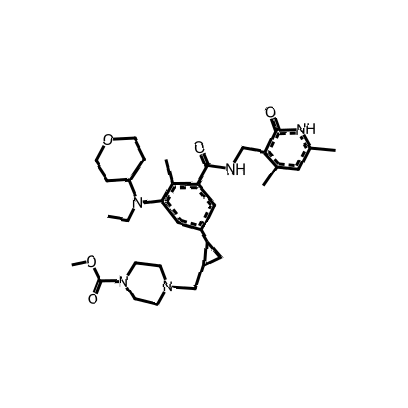 CCN(c1cc(C2CC2CN2CCN(C(=O)OC)CC2)cc(C(=O)NCc2c(C)cc(C)[nH]c2=O)c1C)C1CCOCC1